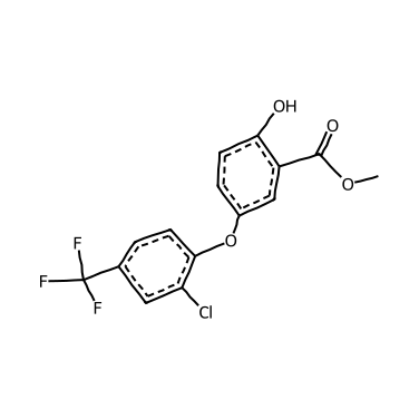 COC(=O)c1cc(Oc2ccc(C(F)(F)F)cc2Cl)ccc1O